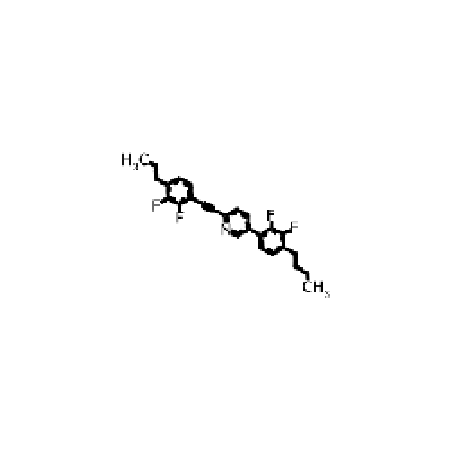 CCCCc1ccc(-c2ccc(C#Cc3ccc(CCC)c(F)c3F)nc2)c(F)c1F